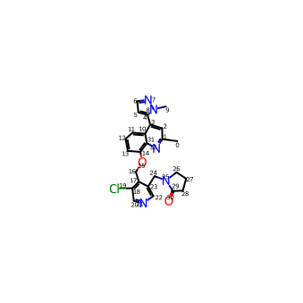 Cc1cc(-c2ccnn2C)c2cccc(OCc3c(Cl)cncc3CN3CCCC3=O)c2n1